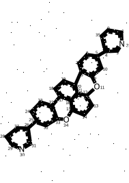 c1cncc(-c2ccc3c(c2)Oc2ccc4c5c(ccc-3c25)-c2ccc(-c3cccnc3)cc2O4)c1